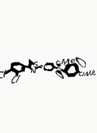 COc1ccc(S(=O)(=O)C2CCN(c3nc(-c4ccc(Cl)c(Cl)c4)cs3)CC2)c(OC)c1